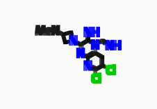 CNC1CN(c2nc3nc(Cl)c(Cl)cc3n(C=N)c2=N)C1